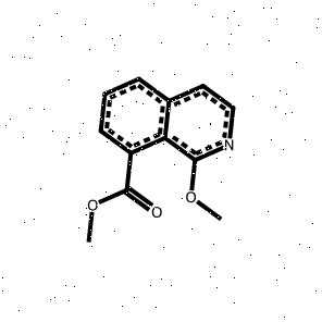 COC(=O)c1cccc2ccnc(OC)c12